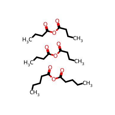 CCCC(=O)OC(=O)CCC.CCCC(=O)OC(=O)CCC.CCCCC(=O)OC(=O)CCCC